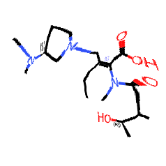 CC/C(CN1CC[C@H](N(C)C)C1)=C(/C(=O)O)N(C)C(=O)C(C)[C@@H](C)O